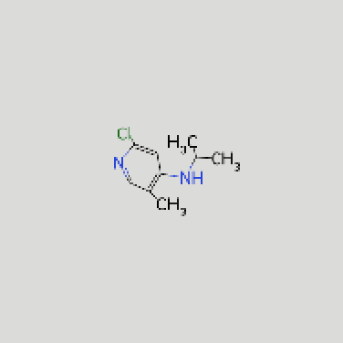 Cc1cnc(Cl)cc1NC(C)C